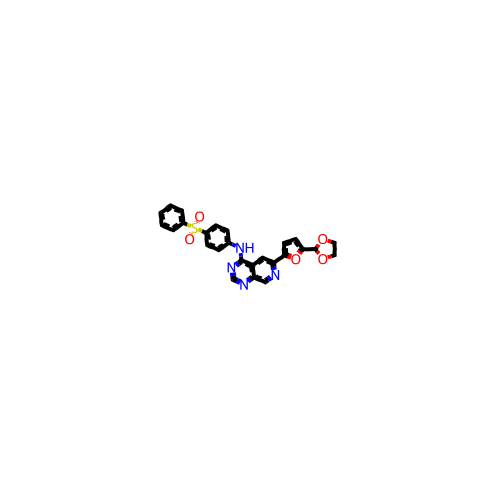 O=S(=O)(c1ccccc1)c1ccc(Nc2ncnc3cnc(-c4ccc(C5OCCO5)o4)cc23)cc1